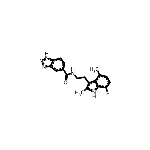 Cc1[nH]c2c(F)ccc(C)c2c1CCNC(=O)c1ccc2[nH]nnc2c1